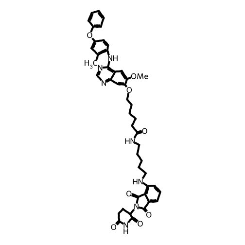 COc1cc2c(Nc3ccc(Oc4ccccc4)cc3C)ncnc2cc1OCCCCCC(=O)NCCCCCNc1cccc2c1C(=O)N(C1CCC(=O)NC1=O)C2=O